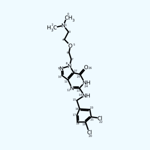 CN(C)CCOCCn1ncc2nc(NCc3ccc(Cl)c(Cl)c3)[nH]c(=O)c21